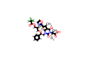 CC1=C(c2ncco2)SC2C1C(=O)N(C(C)(C)C(=O)O)C(=O)N2C[C@H](OCC(C)COC(=O)C(F)(F)F)c1ccccc1